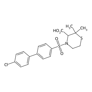 CC1(C)SCCN(S(=O)(=O)c2ccc(-c3ccc(Cl)cc3)cc2)C1C(=O)O